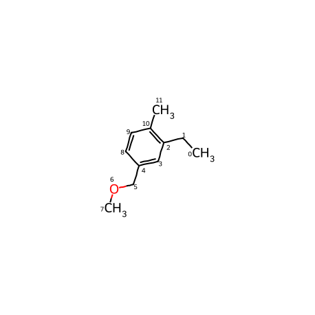 CCc1cc(COC)ccc1C